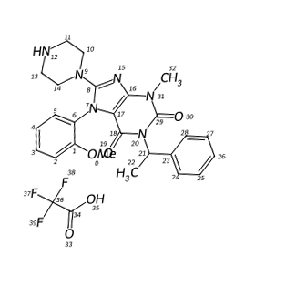 COc1ccccc1-n1c(N2CCNCC2)nc2c1c(=O)n(C(C)c1ccccc1)c(=O)n2C.O=C(O)C(F)(F)F